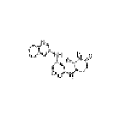 CN(C(=O)/C=C(\C=O)Nc1cnc2ccccc2c1)C1CCC(=O)NC1=O